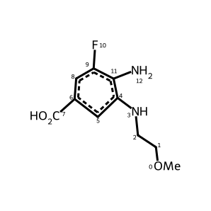 COCCNc1cc(C(=O)O)cc(F)c1N